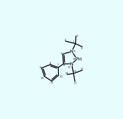 CC(C)(C)N1C=C(c2ccccc2)N(C(C)(C)C)P1